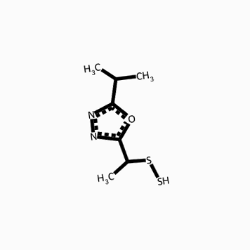 CC(C)c1nnc(C(C)SS)o1